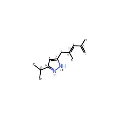 C=C(C)/C=C(\C)Cc1cc(C(C)C)n[nH]1